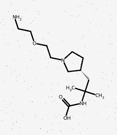 CC(C)(C[C@H]1CCN(CCOCCN)C1)NC(=O)O